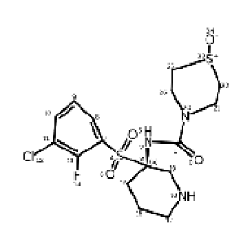 O=C(N[C@]1(S(=O)(=O)c2cccc(Cl)c2F)CCCNC1)N1CC[S+]([O-])CC1